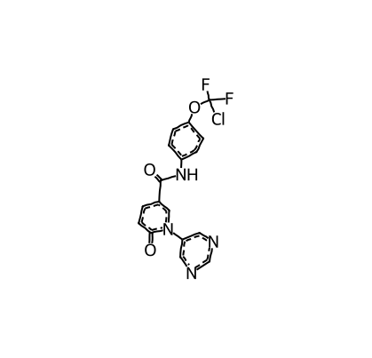 O=C(Nc1ccc(OC(F)(F)Cl)cc1)c1ccc(=O)n(-c2cncnc2)c1